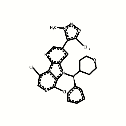 Cc1nnn(C)c1-c1cnc2c3c(Cl)cnc(Cl)c3n([C@H](c3ccccc3)C3CCOCC3)c2c1